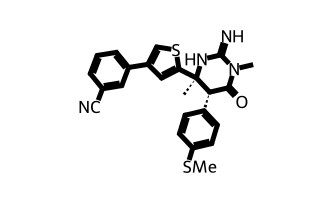 CSc1ccc([C@H]2C(=O)N(C)C(=N)N[C@]2(C)c2cc(-c3cccc(C#N)c3)cs2)cc1